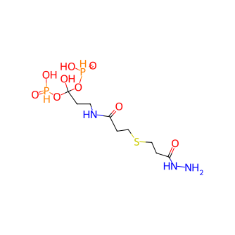 NNC(=O)CCSCCC(=O)NCCC(O)(O[PH](=O)O)O[PH](=O)O